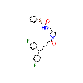 O=C(CSc1ccccc1)NCC1CCN(C(=O)CCCCC(c2ccc(F)cc2)c2ccc(F)cc2)C1